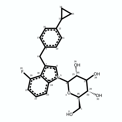 OC[C@H]1OC(n2cc(Cc3ccc(C4CC4)cc3)c3c(F)cccc32)[C@H](O)C(O)[C@@H]1O